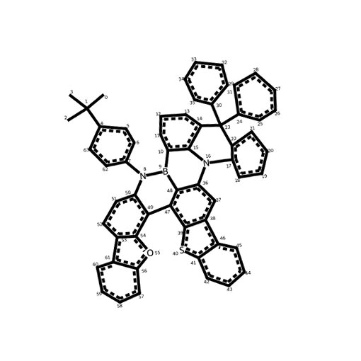 CC(C)(C)c1ccc(N2B3c4cccc5c4N(c4ccccc4C5(c4ccccc4)c4ccccc4)c4cc5c(sc6ccccc65)c(c43)-c3c2ccc2c3oc3ccccc32)cc1